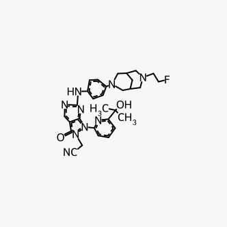 CC(C)(O)c1cccc(-n2c3nc(Nc4ccc(N5CC6CC(CN(CCF)C6)C5)cc4)ncc3c(=O)n2CC#N)n1